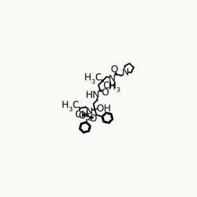 CC(C)CN(C(O)(CCNC(=O)CC(C)(C)CNC(=O)CN1CCCC1)Cc1ccccc1)S(=O)(=O)c1ccccc1